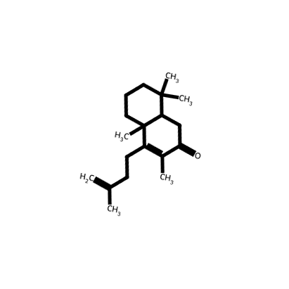 C=C(C)CCC1=C(C)C(=O)CC2C(C)(C)CCCC12C